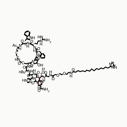 CCCC[C@H](NC(=O)[C@H](Cc1c[nH]cn1)NC(=O)[C@H](Cc1c[nH]cn1)NC(=O)[C@H](CCC(N)=O)NC(=O)[C@H](CO)NC(=O)CNC(=O)COCCOCCNC(=O)CCCCCCCCCCCCCCCc1nnn[nH]1)C(=O)N[C@H]1CCC(=O)NCCCC[C@@H](C(C)=O)NC(=O)[C@H](Cc2c[nH]c3ccccc23)NC(=O)[C@H](CCCNC(=N)N)NC(=O)[C@@H](Cc2ccccc2)NC(=O)[C@@H]2C[C@@H](O)CN2C1=O